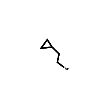 CC(=O)CCC1CC1